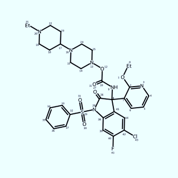 CCOc1ncccc1C1(NC(=O)ON2CCN(C3CCN(CC)CC3)CC2)C(=O)N(S(=O)(=O)c2ccccc2)c2cc(F)c(Cl)cc21